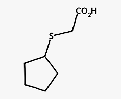 O=C(O)CSC1CCCC1